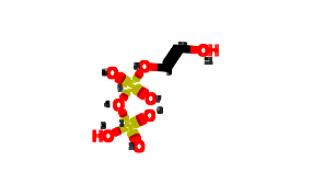 O=S(=O)(O)OS(=O)(=O)OC=CO